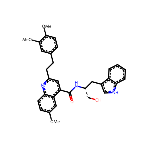 COc1ccc2nc(CCc3ccc(OC)c(OC)c3)cc(C(=O)N[C@@H](CO)Cc3c[nH]c4ccccc34)c2c1